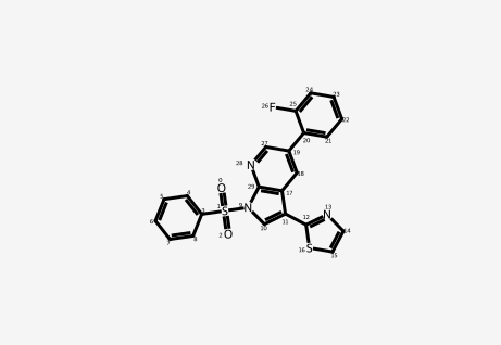 O=S(=O)(c1ccccc1)n1cc(-c2nccs2)c2cc(-c3ccccc3F)cnc21